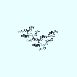 CCCOP(OCCC)OCCC.CCCOP(OCCC)OCCC.CCCOP(OCCC)OCCC.CCCOP(OCCC)OCCC.CCCOP(OCCC)OCCC.[Fe]